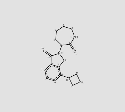 O=C1NCCCCC1N1Cc2c(cccc2C2CCC2)C1=O